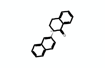 O=C1c2ccccc2CC[C@H]1c1ccc2ccccc2c1